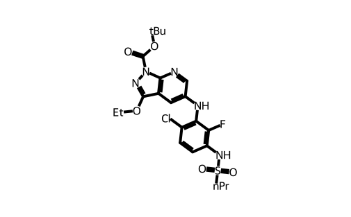 CCCS(=O)(=O)Nc1ccc(Cl)c(Nc2cnc3c(c2)c(OCC)nn3C(=O)OC(C)(C)C)c1F